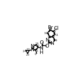 Cc1c(NC(=O)Oc2ncc3cc(Cl)c(Br)cc3n2)cnn1C1CC1